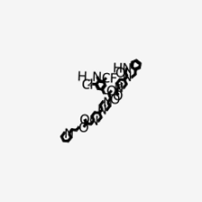 Nc1c(Cl)cc(C[C@@H](OC(=O)N2CCC(N3CCc4ccccc4NC3=O)CC2)C(=O)N2CCN(C3CCN(CC(=O)OCCCN4CCCCC4)CC3)CC2)cc1C(F)(F)F